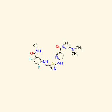 CN(C)CCN(C)C(=O)c1ccc(Nc2ncc(CNc3cc(C(=O)NC4CC4)c(F)cc3F)s2)nc1